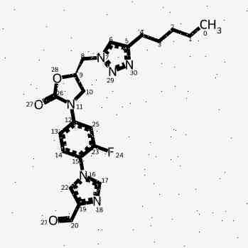 CCCCCc1cn(C[C@H]2CN(c3ccc(-n4cnc(C=O)c4)c(F)c3)C(=O)O2)nn1